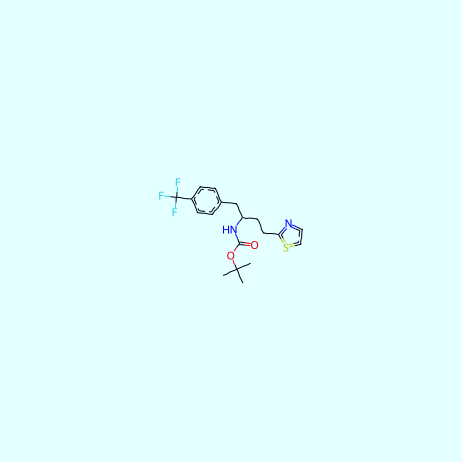 CC(C)(C)OC(=O)NC(CCc1nccs1)Cc1ccc(C(F)(F)F)cc1